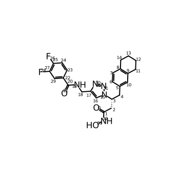 O=C(C[C@@H](Cc1ccc2c(c1)CCCC2)n1cc(CNC(=O)c2ccc(F)c(F)c2)nn1)NO